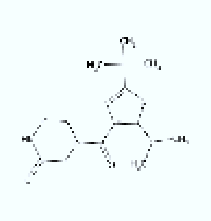 CC(C)c1sc(C(C)(C)C)cc1C(=O)N1CCNC(=O)C1